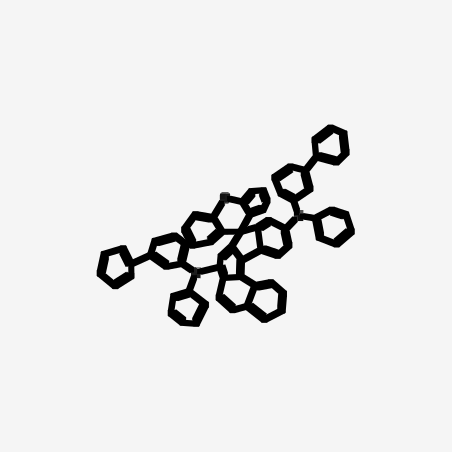 c1ccc(-c2cccc(N(c3ccccc3)c3ccc4c(c3)C3(c5ccccc5Oc5ccccc53)c3cc(N(c5ccccc5)c5cccc(-c6ccccc6)c5)c5ccc6ccccc6c5c3-4)c2)cc1